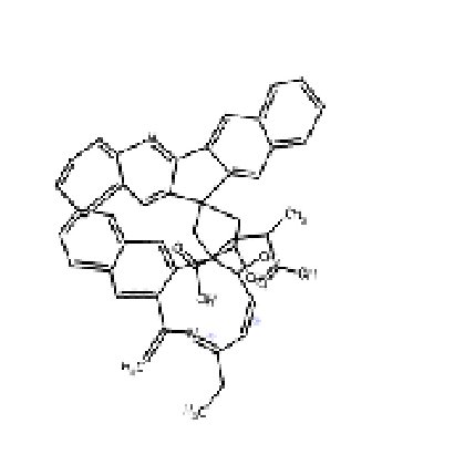 C=C1/N=C(CC)/C=C\C(C)C(CC(C)C(=O)O)(CC2(CC(C)C(=O)O)c3cc4ccccc4cc3-c3nc4ccccc4cc32)c2cc3ccccc3cc21